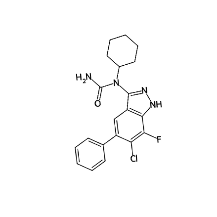 NC(=O)N(c1n[nH]c2c(F)c(Cl)c(-c3ccccc3)cc12)C1CCCCC1